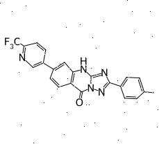 Cc1ccc(-c2nc3[nH]c4cc(-c5ccc(C(F)(F)F)nc5)ccc4c(=O)n3n2)cc1